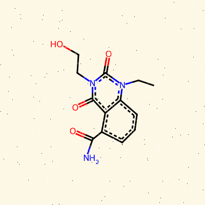 CCn1c(=O)n(CCO)c(=O)c2c(C(N)=O)[c]ccc21